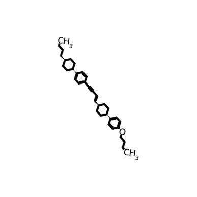 CCCCOc1ccc([C@H]2CC[C@H](C=CC#Cc3ccc([C@H]4CC[C@H](CCCC)CC4)cc3)CC2)cc1